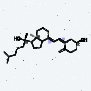 C=C1CC[C@H](O)C/C1=C/C=C1\CCC[C@@]2(C)C1CCC2[C@@](C)(O)CCCC(C)C